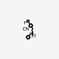 CC#N.CCN(CCCc1ccc(C2CCC2F)cc1)Cc1ccccc1